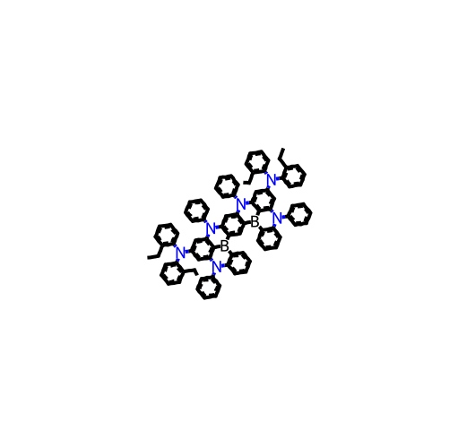 CCc1ccccc1N(c1cc2c3c(c1)N(c1ccccc1)c1cc4c(cc1B3c1ccccc1N2c1ccccc1)B1c2ccccc2N(c2ccccc2)c2cc(N(c3ccccc3CC)c3ccccc3CC)cc(c21)N4c1ccccc1)c1ccccc1CC